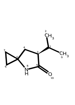 CC(C)[C@@H]1CC2(CC2)NC1=O